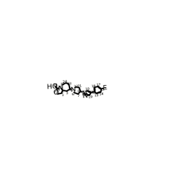 CCC1CC(N2CCC(n3cc(-c4ccc(F)cc4)cn3)CC2)CCCN1C(=O)O